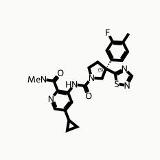 CNC(=O)c1ncc(C2CC2)cc1NC(=O)N1CC[C@@](c2ccc(C)c(F)c2)(c2ncns2)C1